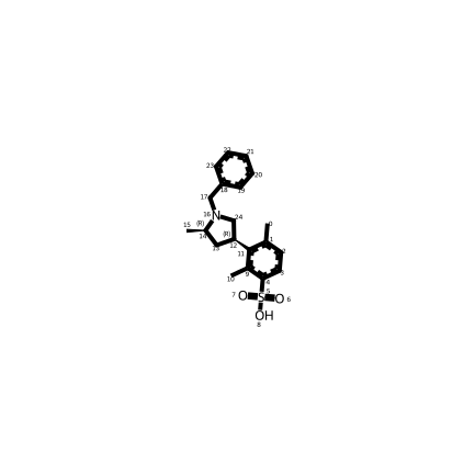 Cc1ccc(S(=O)(=O)O)c(C)c1[C@H]1C[C@@H](C)N(Cc2ccccc2)C1